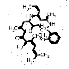 C=C(CC(=O)C(=C)/C(C)=C\C=C(C)C)CC(NC(/C=C\C)=C/C(=C)NSc1ccccc1OC)C(O)CC